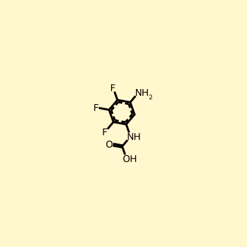 Nc1cc(NC(=O)O)c(F)c(F)c1F